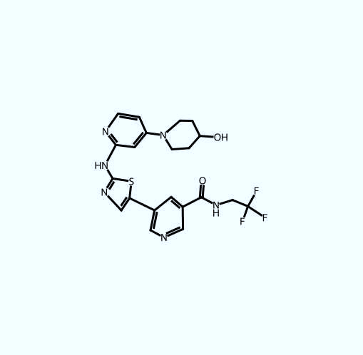 O=C(NCC(F)(F)F)c1cncc(-c2cnc(Nc3cc(N4CCC(O)CC4)ccn3)s2)c1